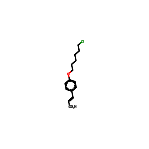 O=C(O)/C=C/c1ccc(OCCCCCCCl)cc1